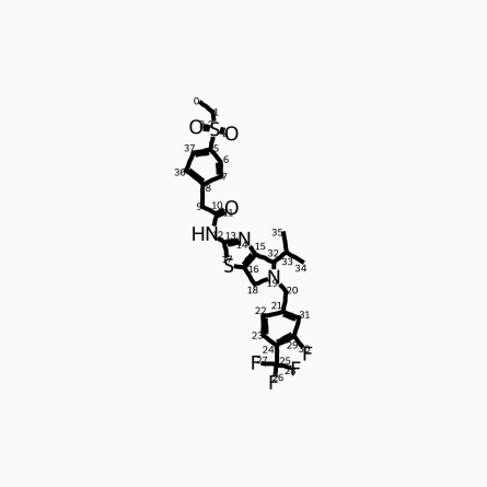 CCS(=O)(=O)c1ccc(CC(=O)Nc2nc3c(s2)CN(Cc2ccc(C(F)(F)F)c(F)c2)C3C(C)C)cc1